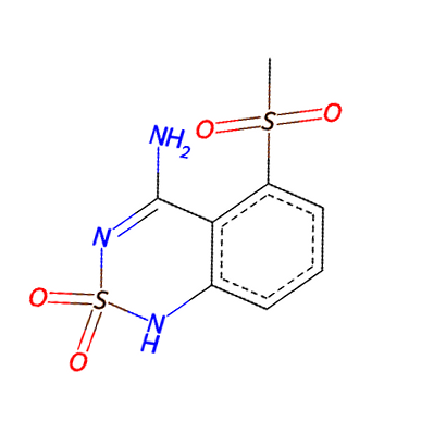 CS(=O)(=O)c1cccc2c1C(N)=NS(=O)(=O)N2